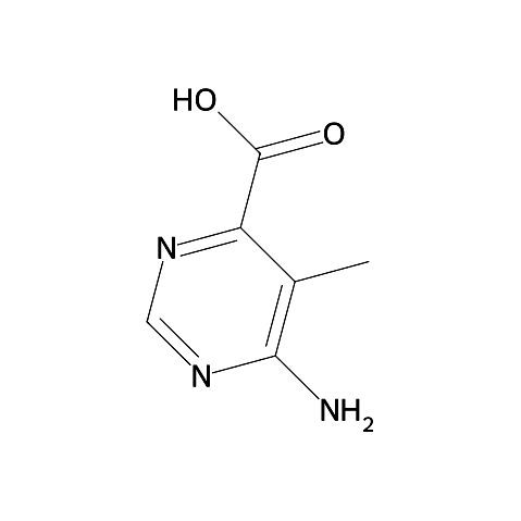 Cc1c(N)ncnc1C(=O)O